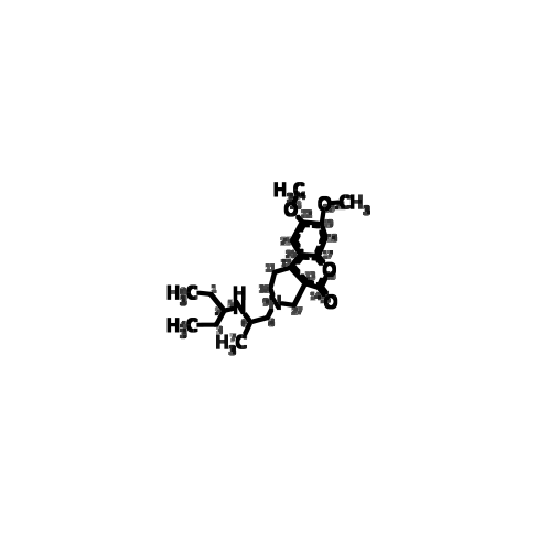 CCC(CC)NC(C)CN1CCc2c(c(=O)oc3cc(OC)c(OC)cc23)C1